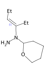 CC/C=C(\CC)N(N)C1CCCCO1